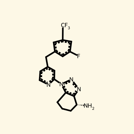 N[C@@H]1CCCc2c1nnn2-c1cc(Cc2cc(F)cc(C(F)(F)F)c2)ccn1